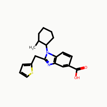 CC1CCCCC1n1c(Cc2cccs2)nc2cc(C(=O)O)ccc21